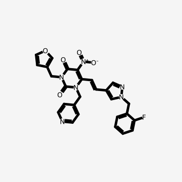 O=c1c([N+](=O)[O-])c(/C=C/c2cnn(Cc3ccccc3F)c2)n(Cc2ccncc2)c(=O)n1Cc1ccoc1